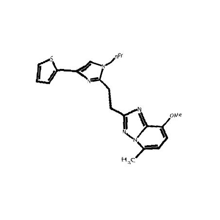 CCCn1cc(-c2cccs2)nc1CCc1nc2c(OC)ccc(C)n2n1